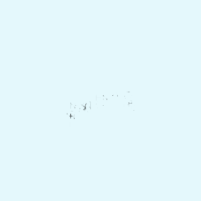 O=S(=O)(c1cccc(OCC(O)CNC2COC3(CCN(S(=O)(=O)c4cnc5cn[nH]c5c4)CC3)C2)c1)C1CC1